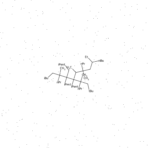 CCCCC(CC)CC(C)(CCC)[C](C)C(C(C)CCC)(C(C)(CCC)CC(C)(C)C)C(CC(C)CCC)(C(C)CCC)C(C)(CCC)CC(C)CC